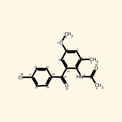 COc1cc(C)c(NC(C)=O)c(C(=O)c2ccc(Cl)cc2)c1